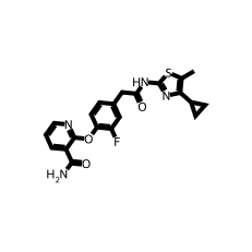 Cc1sc(NC(=O)Cc2ccc(Oc3ncccc3C(N)=O)c(F)c2)nc1C1CC1